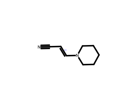 N#C/C=C/N1CCCCC1